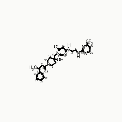 CC(CC(=O)N1CCC(O)(Cn2cnc(NCCNc3nccc(C(F)(F)F)n3)cc2=O)CC1)c1ccccc1